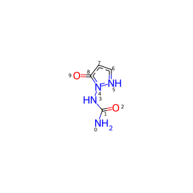 NC(=O)Nn1[nH]ccc1=O